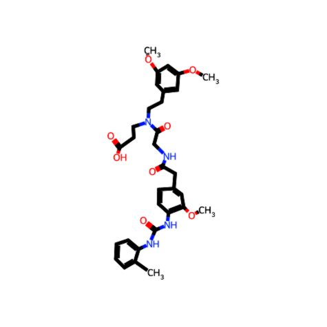 COc1cc(CCN(CCC(=O)O)C(=O)CNC(=O)Cc2ccc(NC(=O)Nc3ccccc3C)c(OC)c2)cc(OC)c1